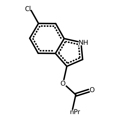 CCCC(=O)Oc1c[nH]c2cc(Cl)ccc12